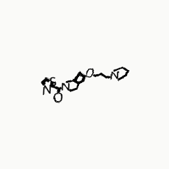 O=C(c1nccs1)N1CCc2cc(OCCCN3CCCCC3)ccc2C1